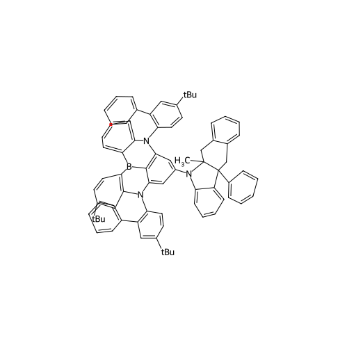 CC(C)(C)c1ccc(N2c3ccccc3B3c4ccc(C(C)(C)C)cc4N(c4ccc(C(C)(C)C)cc4-c4ccccc4)c4cc(N5c6ccccc6C6(c7ccccc7)Cc7ccccc7CC56C)cc2c43)c(-c2ccccc2)c1